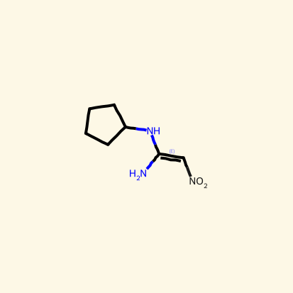 N/C(=C\[N+](=O)[O-])NC1CCCC1